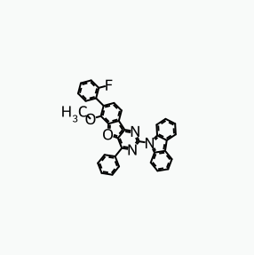 COc1c(-c2ccccc2F)ccc2c1oc1c(-c3ccccc3)nc(-n3c4ccccc4c4ccccc43)nc12